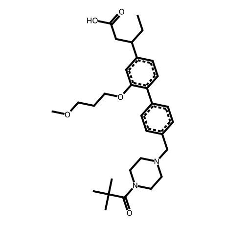 CCC(CC(=O)O)c1ccc(-c2ccc(CN3CCN(C(=O)C(C)(C)C)CC3)cc2)c(OCCCOC)c1